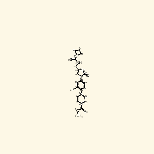 COC(=O)N1CCN(c2ccc(N3C[C@H](CNC(=S)N4CCC4)OC3=O)cc2F)CC1